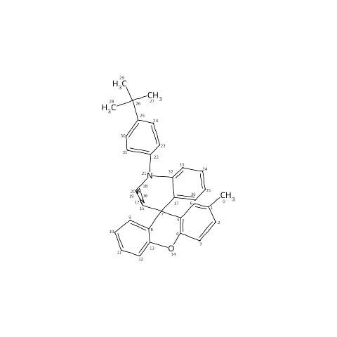 Cc1ccc2c(c1)C1(c3ccccc3O2)c2ccccc2N(c2ccc(C(C)(C)C)cc2)c2ccccc21